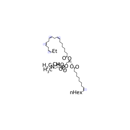 CC/C=C\C/C=C\C/C=C\C/C=C\CCCCCCC(=O)O[C@H](COC(=O)CCCCCCC/C=C\CCCCCC)COP(=O)(O)OCC[N+](C)(C)C